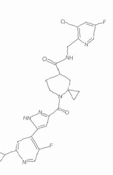 O=C(NCc1ncc(F)cc1Cl)C1CCN(C(=O)c2cc(-c3cc(C4CC4)ncc3F)[nH]n2)C2(CC2)C1